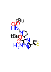 CC(C)(C)OC(=O)NCCN1CCCC(c2nc3c(-c4ccsc4)cnn3c(N)c2C(=O)OC(C)(C)C)C1